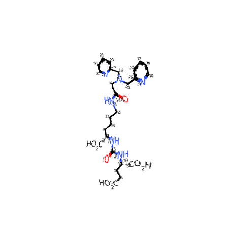 O=C(O)CC[C@H](NC(=O)N[C@@H](CCCCNC(=O)CN(Cc1ccccn1)Cc1ccccn1)C(=O)O)C(=O)O